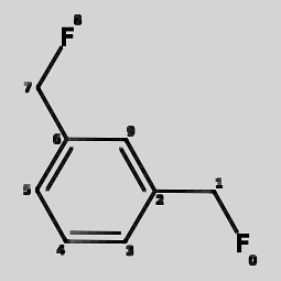 FCc1cccc(CF)c1